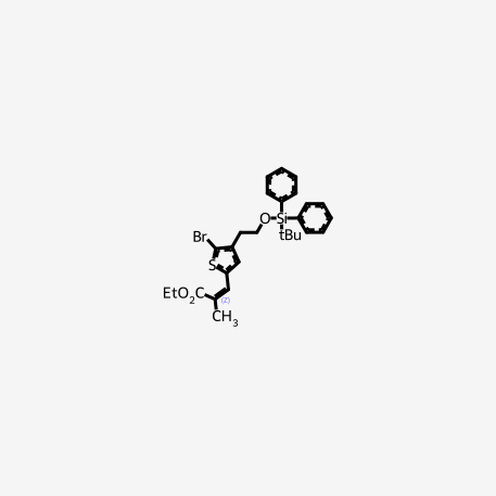 CCOC(=O)/C(C)=C\c1cc(CCO[Si](c2ccccc2)(c2ccccc2)C(C)(C)C)c(Br)s1